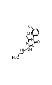 CCCNNc1nc(CC)n(-c2cccc(Cl)c2)c(=O)n1